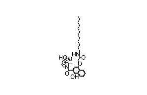 CCCCCCCCCCCCNC(=O)COc1cc(C(=O)N(CC)C(C)S(=O)(=O)O)c(O)c2ccccc12